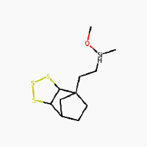 CO[SiH](C)CCC12CCC(C1)C1SSSC12